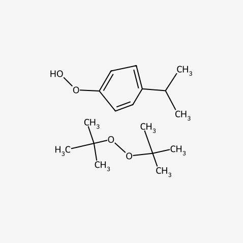 CC(C)(C)OOC(C)(C)C.CC(C)c1ccc(OO)cc1